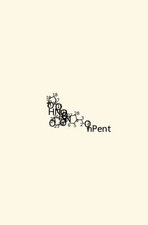 CCCCCOCCC1CCN(S(=O)(=O)C2(C(=O)NOC3CCCCO3)CCOCC2)CC1